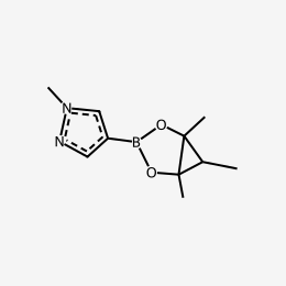 CC1C2(C)OB(c3cnn(C)c3)OC12C